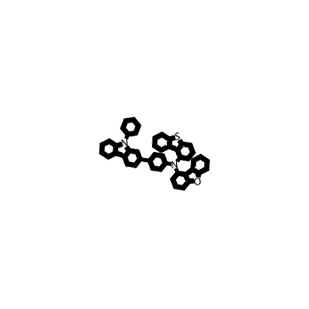 c1ccc(-n2c3ccccc3c3ccc(-c4ccc(N(c5cccc6oc7ccccc7c56)c5cccc6sc7ccccc7c56)cc4)cc32)cc1